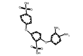 Nc1ccc(Oc2ccc(Oc3ccc(S(=O)(=O)O)cc3)cc2S(=O)(=O)O)cc1N